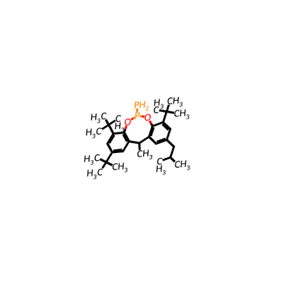 CC(C)Cc1cc2c(c(C(C)(C)C)c1)OP(P)Oc1c(cc(C(C)(C)C)cc1C(C)(C)C)C2C